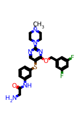 CN1CCN(c2ncc(Sc3cccc(NC(=O)CN)c3)c(OCc3cc(F)cc(F)c3)n2)CC1